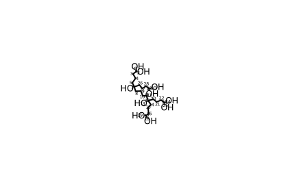 OC(O)CCCC(O)(CCCCC(O)(CCCC(O)O)CCCC(O)O)CCCC(O)O